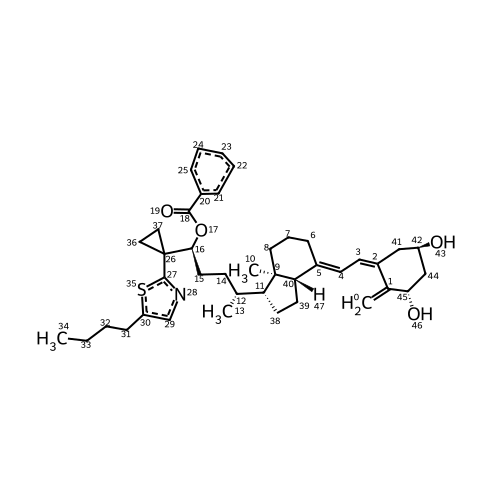 C=C1/C(=C\C=C2/CCC[C@]3(C)[C@@H]([C@H](C)CC[C@H](OC(=O)c4ccccc4)C4(c5ncc(CCCC)s5)CC4)CC[C@@H]23)C[C@@H](O)C[C@@H]1O